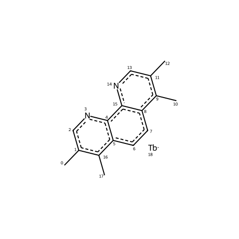 Cc1cnc2c(ccc3c(C)c(C)cnc32)c1C.[Tb]